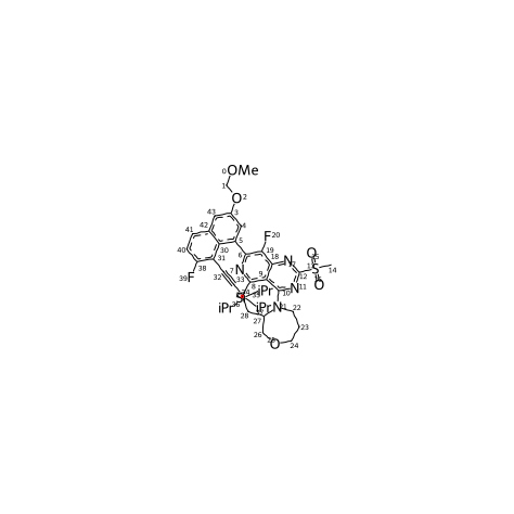 COCOc1cc(-c2nc3c4c(nc(S(C)(=O)=O)nc4c2F)N2CCCOCC2CC3)c2c(C#C[Si](C(C)C)(C(C)C)C(C)C)c(F)ccc2c1